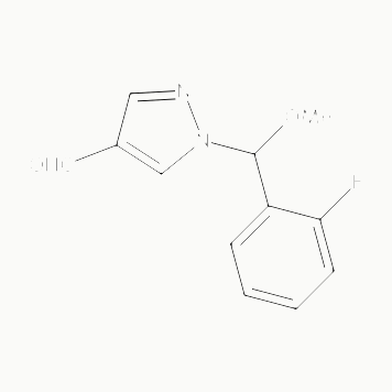 COC(c1ccccc1F)n1cc(C=O)cn1